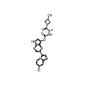 C[C@@H](NC(=O)Oc1c[nH]c2ncc(-c3cnc4cc(Cl)ccn34)nc12)C(=O)N1CC(C#N)C1